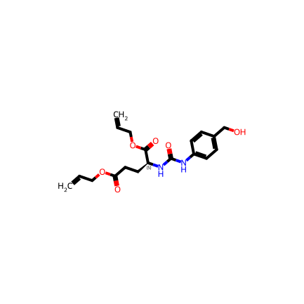 C=CCOC(=O)CC[C@H](NC(=O)Nc1ccc(CO)cc1)C(=O)OCC=C